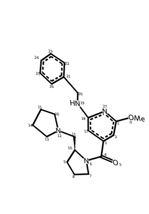 COc1cc(C(=O)N2CCC[C@H]2CN2CCCC2)cc(NCc2ccccc2)n1